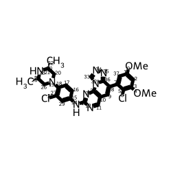 COc1cc(OC)c(Cl)c(-c2cc3cnc(Nc4ccc(N5C[C@@H](C)N[C@@H](C)C5)c(Cl)c4)nc3n3cnnc23)c1